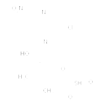 CC(O[SH](=O)=O)C(C)(O)Cn1cc([N+](=O)[O-])nc1Cl